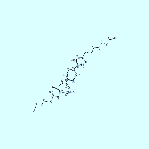 CCCCCCCCc1cnc(-c2ccc(C(=O)Oc3ccc(CCCCC)cc3C#N)cc2)nc1